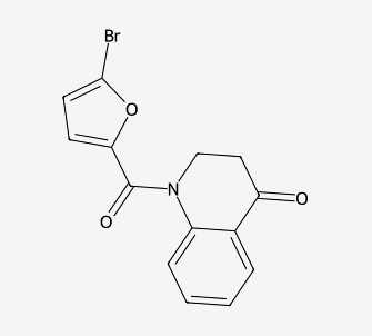 O=C1CCN(C(=O)c2ccc(Br)o2)c2ccccc21